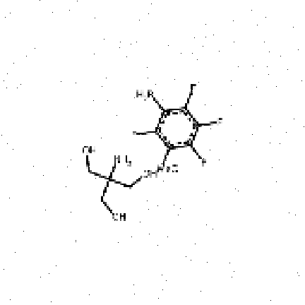 Bc1c(F)c(F)c(F)c(OC)c1F.NC(CO)(CO)CO